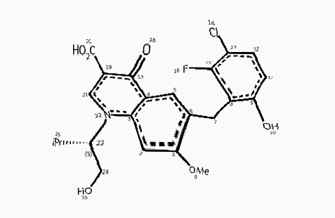 COc1cc2c(cc1Cc1c(O)ccc(Cl)c1F)c(=O)c(C(=O)O)cn2[C@H](CO)C(C)C